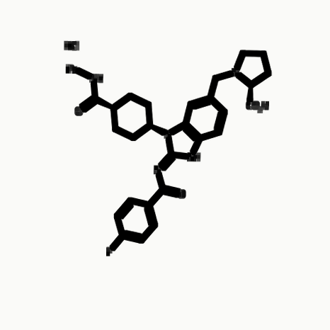 CC(C)NC(=O)[C@H]1CC[C@@H](n2/c(=N/C(=O)c3ccc(F)cc3)[nH]c3ccc(CN4CCC[C@H]4C(=O)O)cc32)CC1.Cl